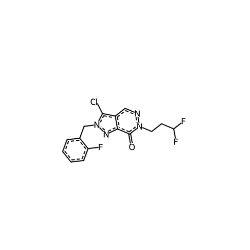 O=c1c2nn(Cc3ccccc3F)c(Cl)c2cnn1CCC(F)F